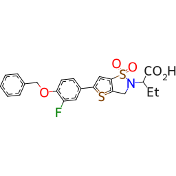 CCC(C(=O)O)N1Cc2sc(-c3ccc(OCc4ccccc4)c(F)c3)cc2S1(=O)=O